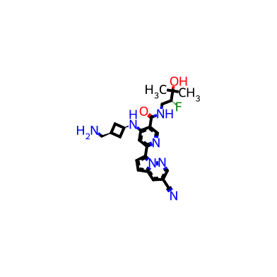 CC(C)(O)[C@H](F)CNC(=O)c1cnc(-c2ccc3cc(C#N)cnn23)cc1N[C@H]1C[C@H](CN)C1